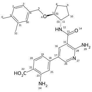 Cc1ccc(CO[C@H]2CCC[C@@H]2NC(=O)c2cc(-c3ccc(C(=O)O)c(N)c3)cnc2N)cc1C